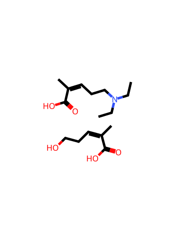 CC(=CCCO)C(=O)O.CCN(CC)CCC=C(C)C(=O)O